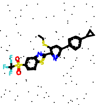 CCSc1cc(-c2ccc(C3CC3)cc2)cnc1-c1nc2cc(S(=O)(=O)C(F)(F)F)ccc2s1